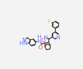 O=C(Nc1ccc2[nH]ncc2c1)C12ON=C(c3cncc(-c4cccc(F)c4)c3)C1C1CCC2C1